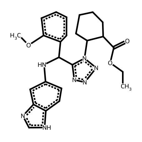 CCOC(=O)C1CCCCC1n1nnnc1C(Nc1ccc2[nH]cnc2c1)c1ccccc1OC